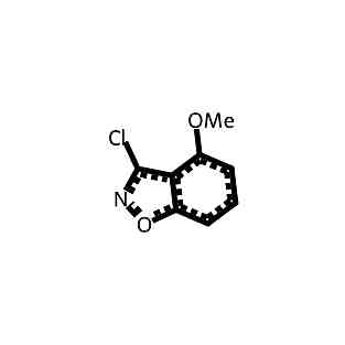 COc1cccc2onc(Cl)c12